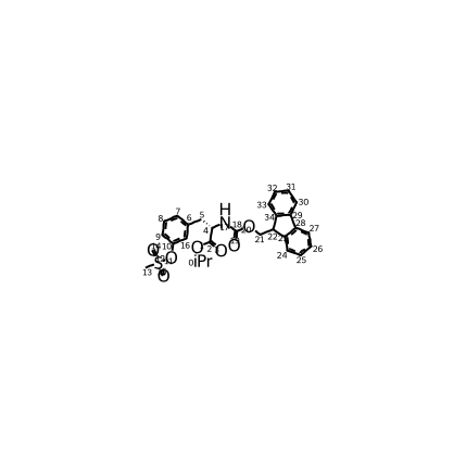 CC(C)OC(=O)[C@H](Cc1cccc(OS(C)(=O)=O)c1)NC(=O)OCC1c2ccccc2-c2ccccc21